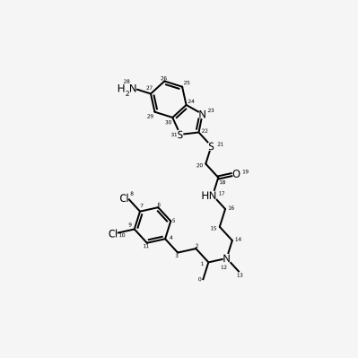 CC(CCc1ccc(Cl)c(Cl)c1)N(C)CCCNC(=O)CSc1nc2ccc(N)cc2s1